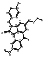 CCCSc1nc(N(C)c2ccc(OC)cc2)c2[nH]c(=O)n(Cc3ccc(F)cc3)c2n1